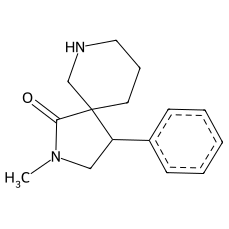 CN1CC(c2ccccc2)C2(CCCNC2)C1=O